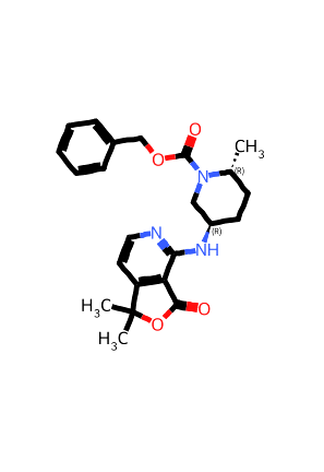 C[C@@H]1CC[C@@H](Nc2nccc3c2C(=O)OC3(C)C)CN1C(=O)OCc1ccccc1